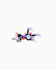 CC(C)(C)C[C@H](NC(=O)[C@H](Cc1ccc(O)cc1)NC(=O)[C@@H]1C/C=C/C[C@H](N)C(=O)N[C@@H](CCCCN)C(=O)N[C@@H](CCCCN)C(=O)N1)C(=O)O